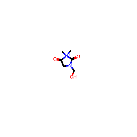 C[N+]1(C)C(=O)CN(CO)C1=O